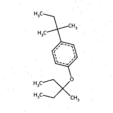 CCC(C)(CC)Oc1ccc(C(C)(C)CC)cc1